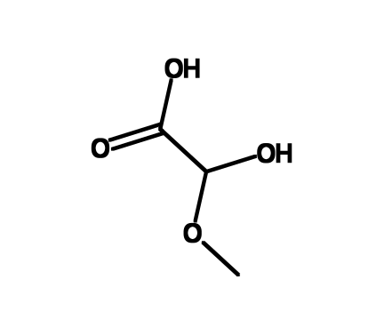 COC(O)C(=O)O